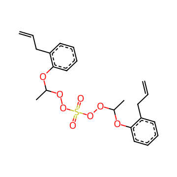 C=CCc1ccccc1OC(C)OOS(=O)(=O)OOC(C)Oc1ccccc1CC=C